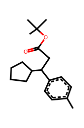 Cc1ccc(C(CC(=O)OC(C)(C)C)C2CCCC2)cc1